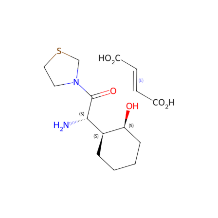 N[C@H](C(=O)N1CCSC1)[C@@H]1CCCC[C@@H]1O.O=C(O)/C=C/C(=O)O